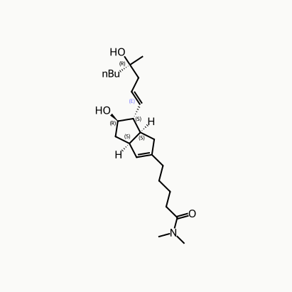 CCCC[C@@](C)(O)C/C=C/[C@@H]1[C@H]2CC(CCCCC(=O)N(C)C)=C[C@H]2C[C@H]1O